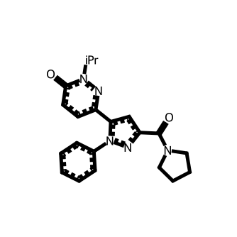 CC(C)n1nc(-c2cc(C(=O)N3CCCC3)nn2-c2ccccc2)ccc1=O